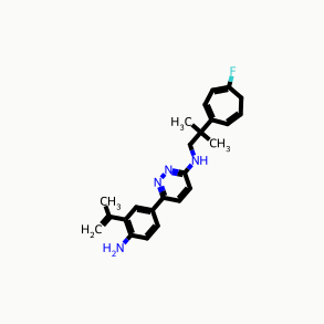 C=C(C)c1cc(-c2ccc(NCC(C)(C)C3=CC=C(F)CC=C3)nn2)ccc1N